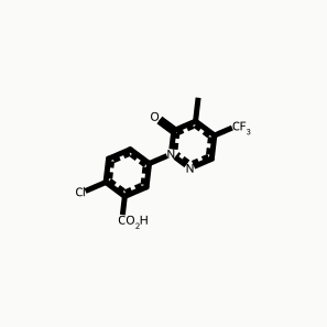 Cc1c(C(F)(F)F)cnn(-c2ccc(Cl)c(C(=O)O)c2)c1=O